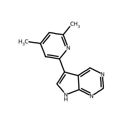 Cc1cc(C)nc(-c2c[nH]c3ncncc23)c1